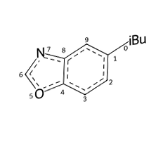 CCC(C)c1ccc2ocnc2c1